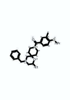 CCC1CN(Cc2ccccc2)CC2(CCN(C(=O)c3ccc(OC(C)C)c(C)c3)CC2)O1